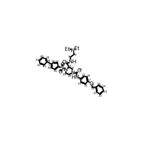 CCN(CC)CCNC(=O)C1CN(C(=O)Nc2ccc(OCc3ccccc3)cc2)CCN1S(=O)(=O)c1ccc(-c2ccccc2)cc1